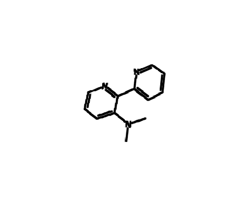 CN(C)c1cccnc1-c1ccccn1